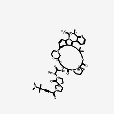 CO[C@@H](C)c1ncccc1-c1c2c3cc(ccc3n1CC(F)(F)F)N1CCO[C@@H](C[C@H](NC(=O)[C@H](C(C)C)N3CC[C@]4(CCN(C(=O)C#CC(C)(C)N(C)C)C4)C3=O)C(=O)N3CCC[C@H](N3)C(=O)OCC(C)(C)C2)C1